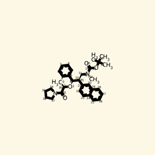 C[C@@H](O[C@H](c1ccccc1)[C@@H](CN(C)C(=O)OC(C)(C)C)c1ccc2ccccc2c1)C(=O)N1CCCC1